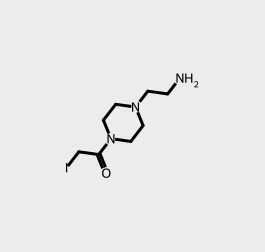 NCCN1CCN(C(=O)CI)CC1